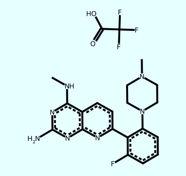 CNc1nc(N)nc2nc(-c3c(F)cccc3N3CCN(C)CC3)ccc12.O=C(O)C(F)(F)F